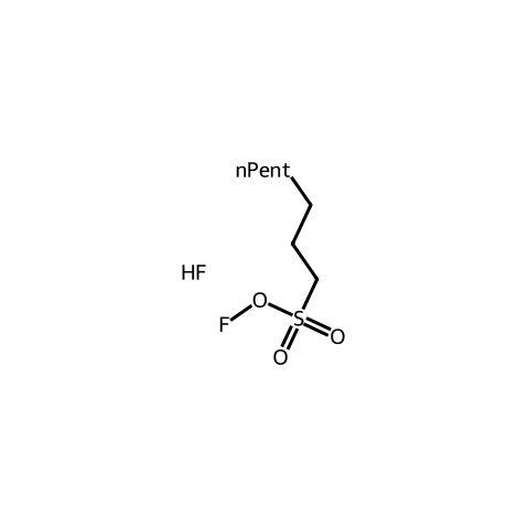 CCCCCCCCS(=O)(=O)OF.F